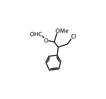 COC(OC=O)C(CCl)c1ccccc1